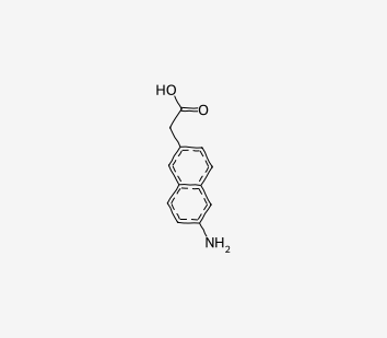 Nc1ccc2cc(CC(=O)O)ccc2c1